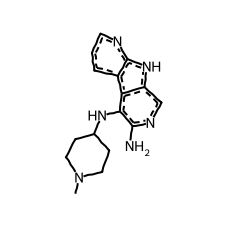 CN1CCC(Nc2c(N)ncc3[nH]c4ncccc4c23)CC1